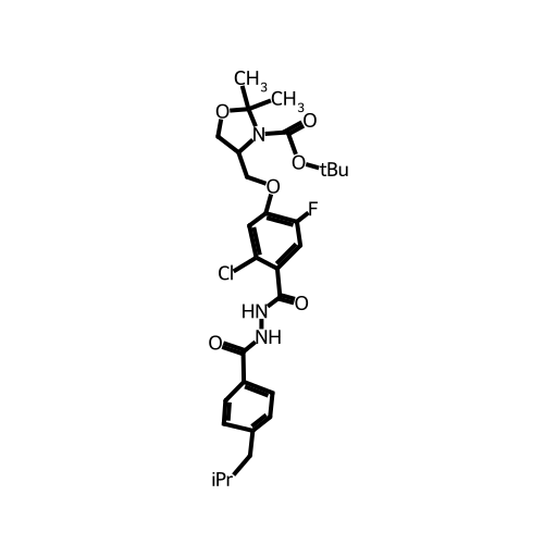 CC(C)Cc1ccc(C(=O)NNC(=O)c2cc(F)c(OCC3COC(C)(C)N3C(=O)OC(C)(C)C)cc2Cl)cc1